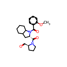 COc1ccccc1C(=O)N1C2CCCCC2C[C@H]1C(=O)N1CCC[C@H]1C=O